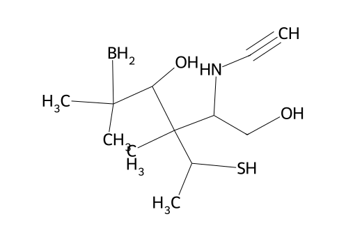 BC(C)(C)C(O)C(C)(C(C)S)C(CO)NC#C